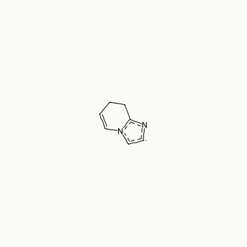 [c]1cn2c(n1)CCC=C2